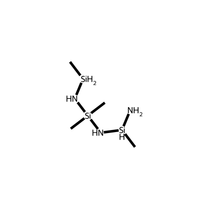 C[SiH2]N[Si](C)(C)N[SiH](C)N